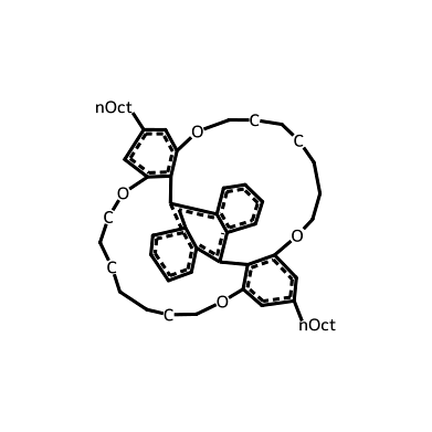 CCCCCCCCc1cc2c3c(c1)OCCCCCCCOc1cc(CCCCCCCC)cc(c1-c1c4ccccc4c-3c3ccccc13)OCCCCCCCO2